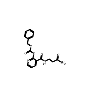 NC(=O)CCNC(=O)c1cccnc1SC(=O)OCc1ccccc1